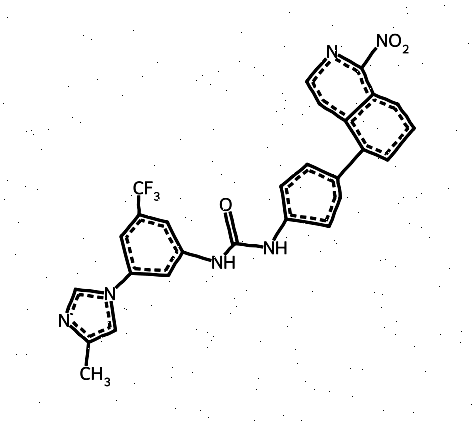 Cc1cn(-c2cc(NC(=O)Nc3ccc(-c4cccc5c([N+](=O)[O-])nccc45)cc3)cc(C(F)(F)F)c2)cn1